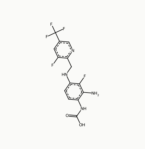 Nc1c(NC(=O)O)ccc(NCc2ncc(C(F)(F)F)cc2F)c1F